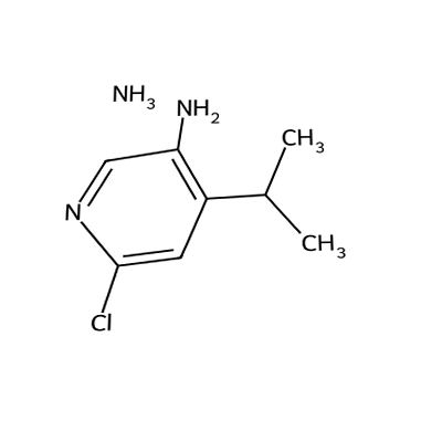 CC(C)c1cc(Cl)ncc1N.N